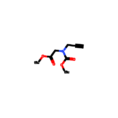 C#CCN(CC(=O)OC(C)(C)C)C(=O)OC(C)(C)C